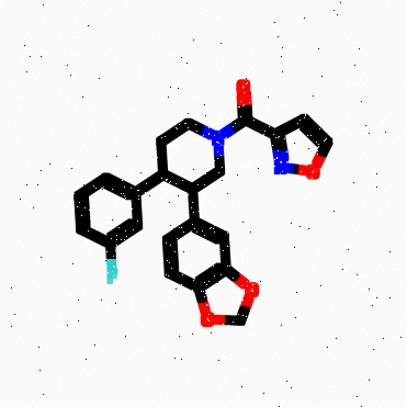 O=C(c1ccon1)N1CCC(c2cccc(F)c2)C(c2ccc3c(c2)OCO3)C1